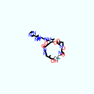 CC1=C\[C@@H](O)C[C@@H](F)Cc2nc(co2)C(=O)N2CCC[C@@H]2C(=O)O[C@H](C(C)C)[C@H](CC(=O)NCCn2cc(-c3cnccn3)nn2)/C=C/C(=O)NC\C=C\1